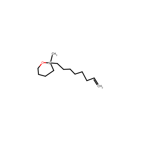 C=CCCCCCC[Si]1(C)CCCCO1